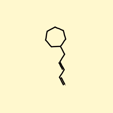 [CH]=C/C=C/CC1CCCCCC1